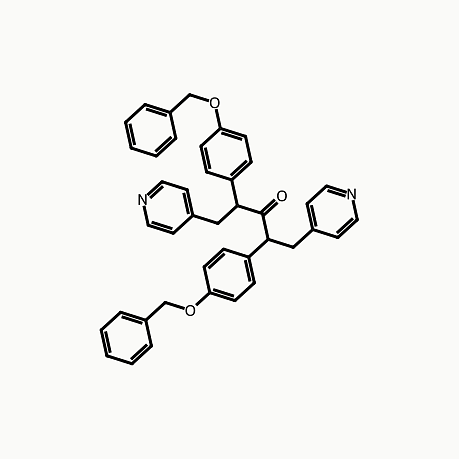 O=C(C(Cc1ccncc1)c1ccc(OCc2ccccc2)cc1)C(Cc1ccncc1)c1ccc(OCc2ccccc2)cc1